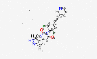 CC[C@@]1(c2cn[nH]c2)CC(=O)N(c2c(F)cc(C#Cc3cccnc3)cc2F)C(=O)N1C